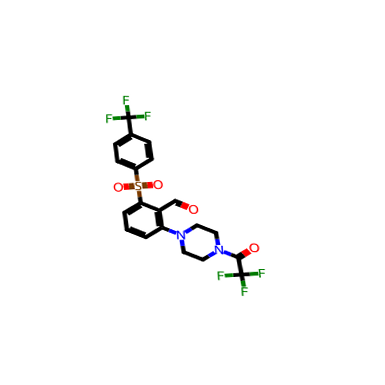 O=Cc1c(N2CCN(C(=O)C(F)(F)F)CC2)cccc1S(=O)(=O)c1ccc(C(F)(F)F)cc1